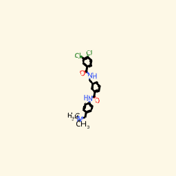 CN(C)Cc1ccc(NC(=O)c2cccc(CNC(=O)c3ccc(Cl)c(Cl)c3)c2)cc1